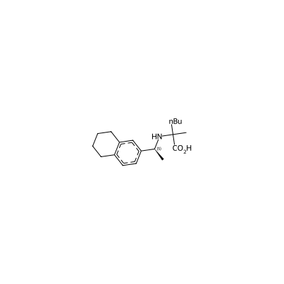 CCCCC(C)(N[C@@H](C)c1ccc2c(c1)CCCC2)C(=O)O